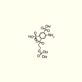 Nc1cc(S(=O)(=O)CCOP(=O)(O)O)c(S(=O)(=O)O)cc1S(=O)(=O)O